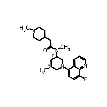 C[C@H]1C[C@@H](N(C)C(=O)CC2CCN(C)CC2)CN(c2ccc(F)c3ncccc23)C1